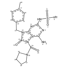 CCCS(=O)(=O)Nc1nc(N)c2c(n1)n(Cc1ccc(C)cc1)c(=O)n2C(=O)N1CCCC1